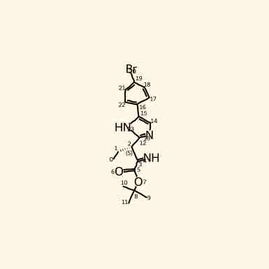 CC[C@@H](C(=N)C(=O)OC(C)(C)C)c1ncc(-c2ccc(Br)cc2)[nH]1